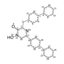 O=c1c(Cc2ccc(-c3ccccc3)cc2)nc(-c2ccc(-c3ccccc3)cc2)cn1O